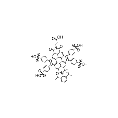 CC(C)c1cccc(C(C)C)c1N1C(=O)c2cc(Oc3ccc(S(=O)(=O)O)cc3)c3c4c(Oc5ccc(S(=O)(=O)O)cc5)cc5c6c(cc(Oc7ccc(S(=O)(=O)O)cc7)c(c7c(Oc8ccc(S(=O)(=O)O)cc8)cc(c2c37)C1=O)c64)C(=O)N(CCC(=O)O)C5=O